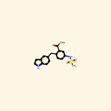 COC(=O)c1cc(NS(C)(=O)=O)ccc1Cc1ccc2[nH]ccc2c1